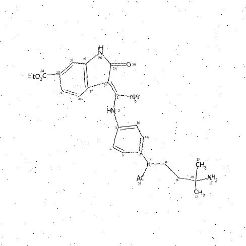 CCCC(Nc1ccc(N(CCC(C)(C)N)C(C)=O)cc1)=C1C(=O)Nc2cc(C(=O)OCC)ccc21